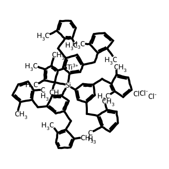 CC1=C(C)C(C)([Si](c2cc(Cc3c(C)cccc3C)cc(Cc3c(C)cccc3C)c2)(c2cc(Cc3c(C)cccc3C)cc(Cc3c(C)cccc3C)c2)c2cc(Cc3c(C)cccc3C)cc(Cc3c(C)cccc3C)c2)[C]([Ti+3])=C1C.[Cl-].[Cl-].[Cl-]